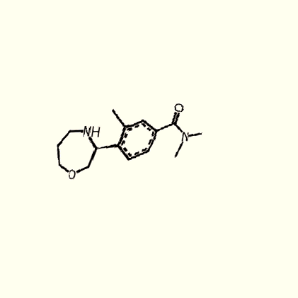 Cc1cc(C(=O)N(C)C)ccc1[C@H]1COCCCN1